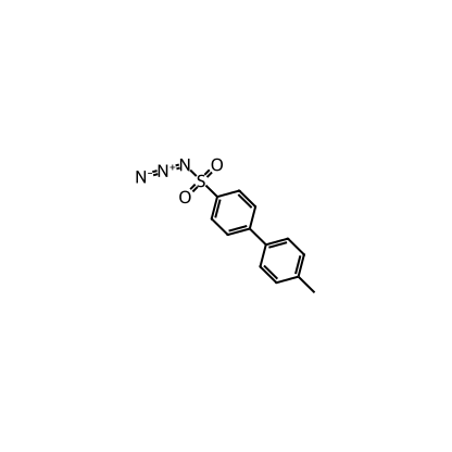 Cc1ccc(-c2ccc(S(=O)(=O)N=[N+]=[N-])cc2)cc1